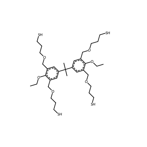 CCOc1c(COCCCS)cc(C(C)(C)c2cc(COCCCS)c(OCC)c(COCCCS)c2)cc1COCCCS